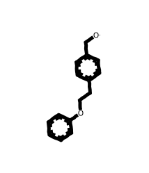 [O]Cc1ccc(CCOc2ccccc2)cc1